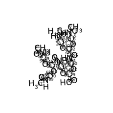 CC(=O)Nc1ccc(Oc2cc(Oc3ccc(NC(C)=O)cc3)cc(C(=O)Nc3ccc(Oc4cc(Oc5ccc(NC(=O)c6cc(Oc7ccc(NC(C)=O)cc7)cc(Oc7ccc(NC(C)=O)cc7)c6)cc5)cc(C(=O)O)c4)cc3)c2)cc1